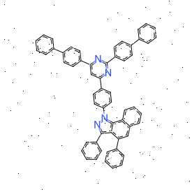 c1ccc(-c2ccc(-c3cc(-c4ccc(-n5nc(-c6ccccc6)c6c(-c7ccccc7)cc7ccccc7c65)cc4)nc(-c4ccc(-c5ccccc5)cc4)n3)cc2)cc1